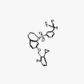 O=S(=O)(c1cccc(C(F)(F)F)c1)N1CCCc2ccc(OCc3c(F)cccc3C3CC3)cc21